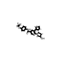 O=C(Nc1ccc(OC(F)(F)F)cc1)c1cnc(N2CCC(O)C2)c(-c2cccnc2)c1